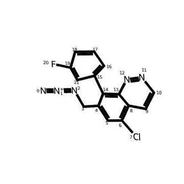 [N-]=[N+]=NCc1cc(Cl)c2ccnnc2c1-c1cccc(F)c1